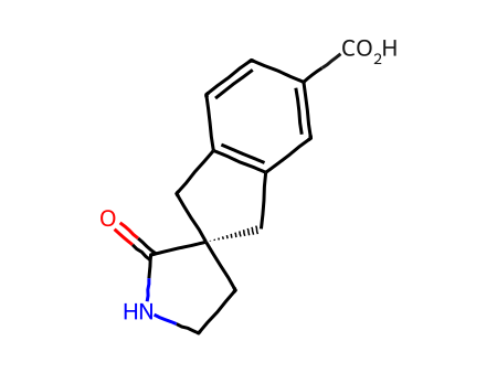 O=C(O)c1ccc2c(c1)C[C@@]1(CCNC1=O)C2